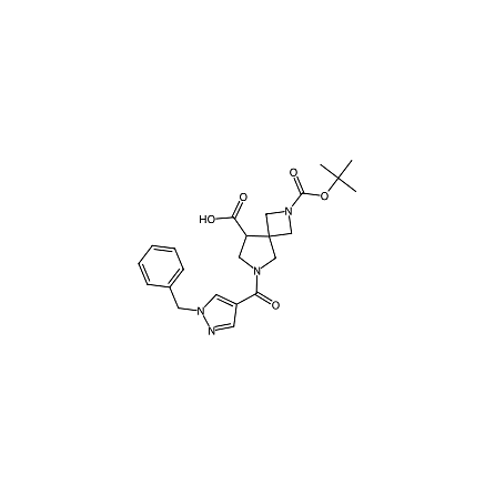 CC(C)(C)OC(=O)N1CC2(C1)CN(C(=O)c1cnn(Cc3ccccc3)c1)CC2C(=O)O